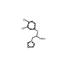 CCCCCCCCCC(Cn1ccnc1)Sc1ccc(Cl)c(Cl)c1